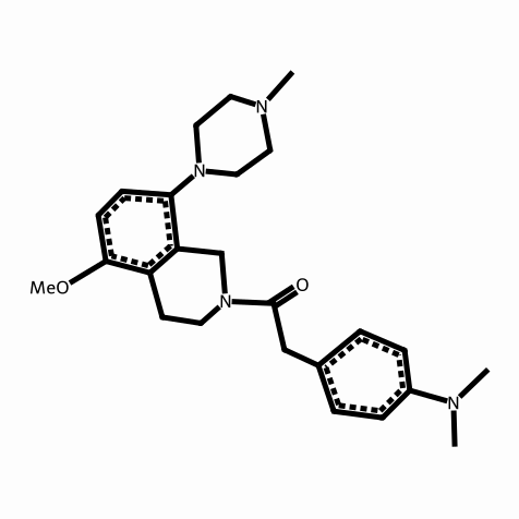 COc1ccc(N2CCN(C)CC2)c2c1CCN(C(=O)Cc1ccc(N(C)C)cc1)C2